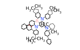 CC1(C)Cc2ccc(N3c4cc5c(cc4B4c6ccc(-c7ccccc7)cc6N(c6ccc(C(C)(C)C)cc6-c6ccccc6)c6cc(N7c8ccc(-c9ccccc9)cc8C8(C)CCCCC78C)cc3c64)CC(C)(C)C5)cc2C1